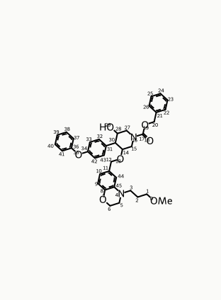 COCCCN1CCOc2ccc(COC3CN(C(=O)OCc4ccccc4)CC(O)C3c3ccc(Oc4ccccc4)cc3)cc21